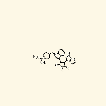 CC(C)N1CCC(Cn2cc(C3=C(c4c[nH]c5sccc45)C(=O)NC3=O)c3ccccc32)CC1